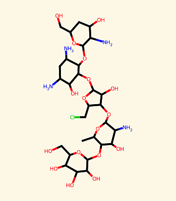 CC1OC(OC2C(CCl)OC(OC3C(O)C(N)CC(N)C3OC3OC(CO)CC(O)C3N)C2O)C(N)C(O)C1OC1OC(CO)C(O)C(O)C1O